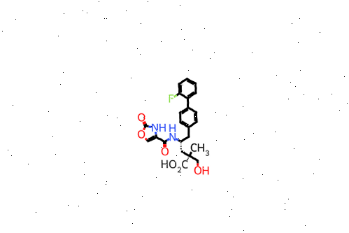 C[C@@](CO)(C[C@@H](Cc1ccc(-c2ccccc2F)cc1)NC(=O)c1coc(=O)[nH]1)C(=O)O